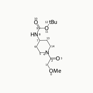 COCC(=O)N1CCC(NC(=O)OC(C)(C)C)CC1